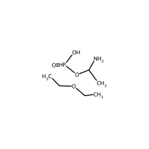 CC(N)O[PH](=O)O.CCOCC